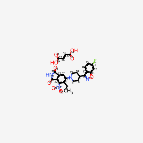 CCc1c(N2CCC(c3noc4cc(F)ccc34)CC2)cc2c(c1[N+](=O)[O-])C(=O)NC2=O.O=C(O)C=CC(=O)O